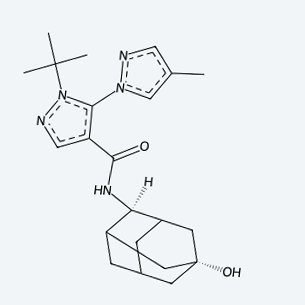 Cc1cnn(-c2c(C(=O)N[C@H]3C4CC5CC3C[C@](O)(C5)C4)cnn2C(C)(C)C)c1